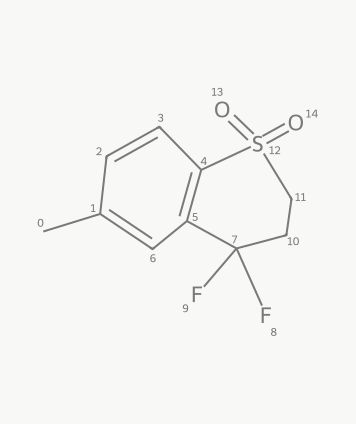 Cc1ccc2c(c1)C(F)(F)CCS2(=O)=O